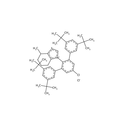 CC1CCCc2c1sc[n+]2-c1c(-c2cc(C(C)(C)C)cc(C(C)(C)C)c2)cc(Cl)cc1-c1cc(C(C)(C)C)cc(C(C)(C)C)c1.[Cl-]